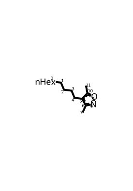 CCCCCCCCCCc1c(C)noc1C